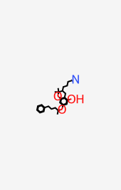 CC(CCCc1ccccc1)Oc1cc(O)c2c(c1)OC(C)(C)C(CCCC#N)C2